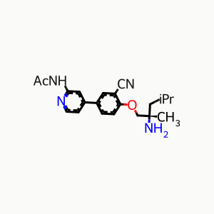 CC(=O)Nc1cc(-c2ccc(OC[C@@](C)(N)CC(C)C)c(C#N)c2)ccn1